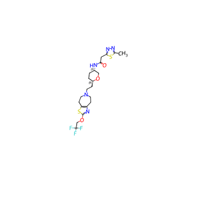 Cc1nnc(CC(=O)N[C@H]2CC[C@H](CCN3CCc4nc(OCC(F)(F)F)sc4CC3)OC2)s1